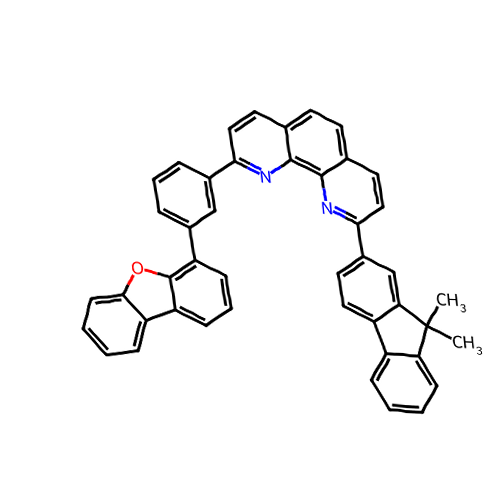 CC1(C)c2ccccc2-c2ccc(-c3ccc4ccc5ccc(-c6cccc(-c7cccc8c7oc7ccccc78)c6)nc5c4n3)cc21